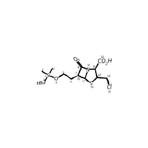 CC(C)(C)[Si](C)(C)OCC[C@H]1C(=O)N2C(C(=O)O)C(CCl)SC12